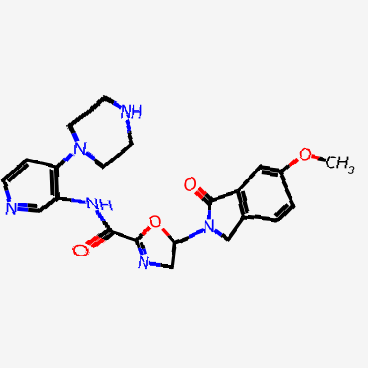 COc1ccc2c(c1)C(=O)N(C1CN=C(C(=O)Nc3cnccc3N3CCNCC3)O1)C2